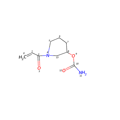 C=CC(=O)N1CCCC(OC(N)=O)C1